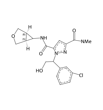 CNC(=O)c1cc(C(=O)NC2[C@H]3COC[C@@H]23)n(C(CO)c2cccc(Cl)c2)n1